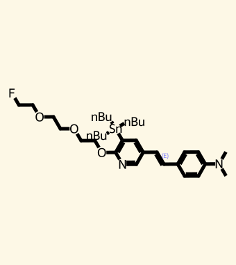 CCC[CH2][Sn]([CH2]CCC)([CH2]CCC)[c]1cc(/C=C/c2ccc(N(C)C)cc2)cnc1OCCOCCOCCF